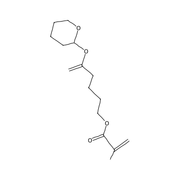 C=C(CCCCOC(=O)C(=C)C)OC1CCCCO1